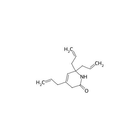 C=CCC1=CC(CC=C)(CC=C)NC(=O)C1